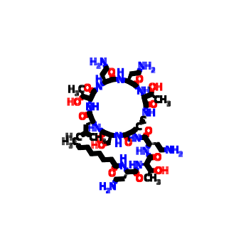 CCCCCCCC(=O)N[C@@H](CCN)C(=O)N[C@H](C(=O)N[C@@H](CCN)C(=O)N[C@H]1CCNC(=O)[C@H]([C@@H](C)O)NC(=O)[C@H](CCN)NC(=O)[C@H](CCN)NC(=O)[C@H]([C@@H](C)O)NC(=O)[C@@H](CC(C)C)NC(=O)[C@H](CO)NC1=O)[C@@H](C)O